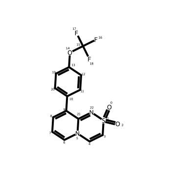 O=S1(=O)C=CN2C=CC=C(c3ccc(OC(F)(F)F)cc3)C2=N1